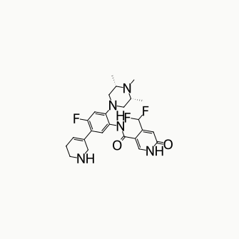 C[C@@H]1CN(c2cc(F)c(C3=CCCNC3)cc2NC(=O)c2c[nH]c(=O)cc2C(F)F)C[C@H](C)N1C